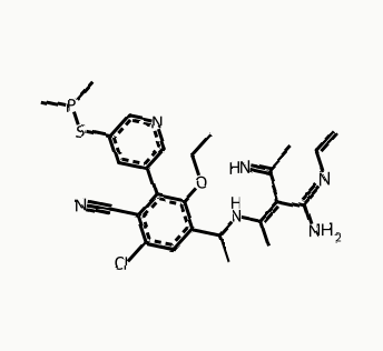 C=C/N=C(N)\C(C(C)=N)=C(/C)NC(C)c1cc(Cl)c(C#N)c(-c2cncc(SP(C)C)c2)c1OCC